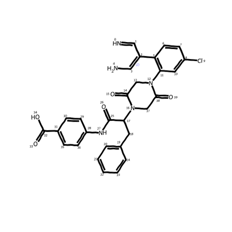 N=C/C(=C\N)c1ccc(Cl)cc1N1CC(=O)N(C(Cc2ccccc2)C(=O)Nc2ccc(C(=O)O)cc2)CC1=O